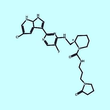 O=C1CCCN1CCCNC(=O)N1CCCC[C@@H]1CNc1nc(C2=CNC3NC=C(Cl)C=C23)ncc1F